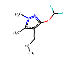 CBCc1c(OC(F)F)nn(C)c1C